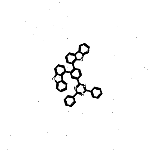 c1ccc(-c2nc(-c3ccccc3)nc(-c3ccc(-c4cccc5c4oc4ccccc45)c(-c4cccc5oc6ccccc6c45)c3)n2)cc1